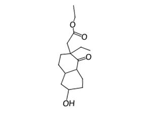 CCOC(=O)CC1(CC)CCC2CC(O)CCC2C1=O